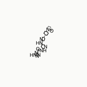 O=C(Nc1cncc(Nc2ccc(-c3ccc(N4CCCC4=O)cc3)cn2)c1)c1nn[nH]n1